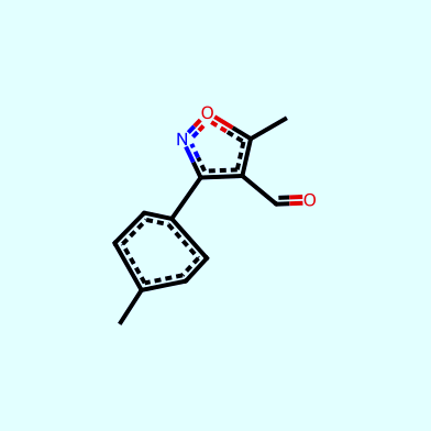 Cc1ccc(-c2noc(C)c2C=O)cc1